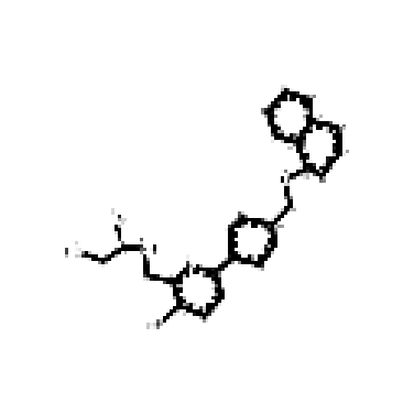 CC(C)[C@H](CO)NCc1nc(-c2ccc(COc3cccc4ccccc34)cc2)ccc1F